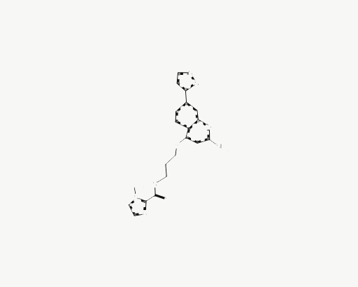 Cn1ccnc1C(=O)NCCCNc1cc(N)nc2cc(-c3ccn[nH]3)ccc12